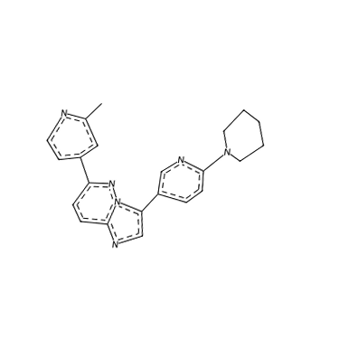 Cc1cc(-c2ccc3ncc(-c4ccc(N5CCCCC5)nc4)n3n2)ccn1